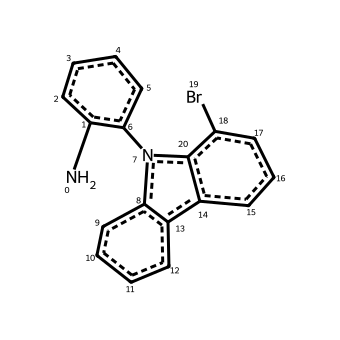 Nc1ccccc1-n1c2ccccc2c2cccc(Br)c21